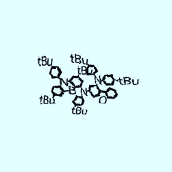 CC(C)(C)c1ccc(N2c3ccc(C(C)(C)C)cc3B3c4cc(C(C)(C)C)ccc4N(c4cc(N(c5ccc(C(C)(C)C)cc5)c5ccc(C(C)(C)C)cc5)c5c(c4)oc4ccccc45)c4cc(C(C)(C)C)cc2c43)cc1